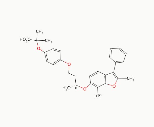 CCCc1c(O[C@H](C)CCOc2ccc(OC(C)(C)C(=O)O)cc2)ccc2c(-c3ccccc3)c(C)oc12